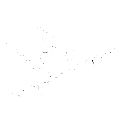 CCCCCCCCCCCCCNC(=O)CCN(CCNCCN(CCC(=O)NCCCCCCCCCCCCC)CCN(CCC(=O)NCCCCCCCCCCCCC)CCC(=O)NCCCCCCCCCCCCC)CCC(=O)NCCCCCCCCCCCCC